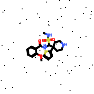 CNS(=O)(=O)C(NC(=O)c1ccccc1OC)C1(c2cccs2)CCNCC1